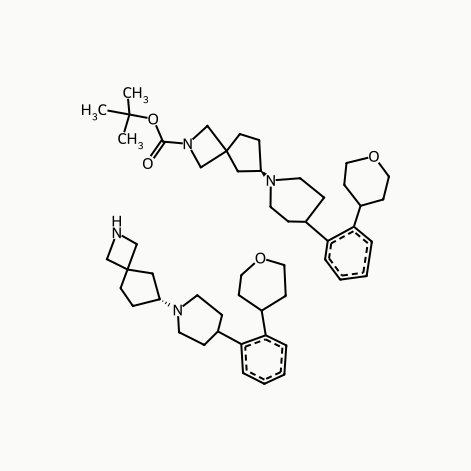 CC(C)(C)OC(=O)N1CC2(CC[C@@H](N3CCC(c4ccccc4C4CCOCC4)CC3)C2)C1.c1ccc(C2CCN([C@@H]3CCC4(CNC4)C3)CC2)c(C2CCOCC2)c1